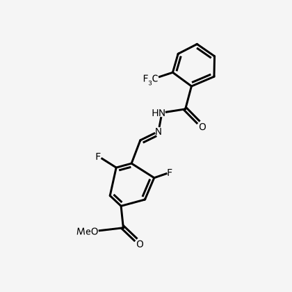 COC(=O)c1cc(F)c(/C=N/NC(=O)c2ccccc2C(F)(F)F)c(F)c1